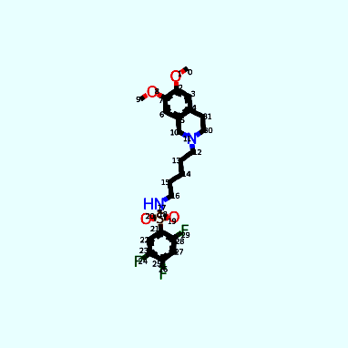 COc1cc2c(cc1OC)CN(CCCCCNS(=O)(=O)c1cc(F)c(F)cc1F)CC2